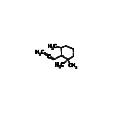 C=C=C[C]1C(C)CCCC1(C)C